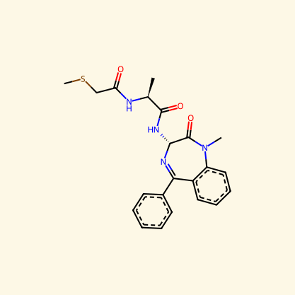 CSCC(=O)N[C@@H](C)C(=O)N[C@H]1N=C(c2ccccc2)c2ccccc2N(C)C1=O